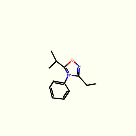 CCc1noc(C(C)C)[n+]1-c1ccccc1